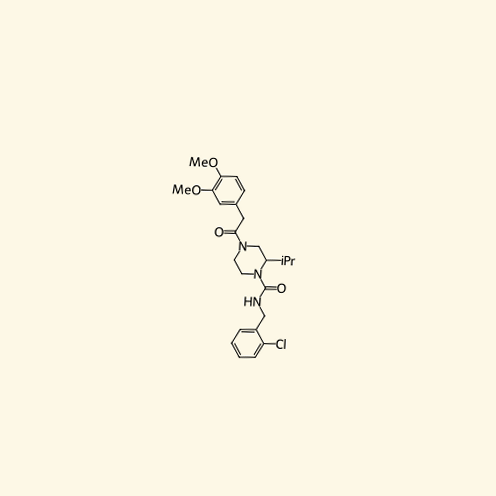 COc1ccc(CC(=O)N2CCN(C(=O)NCc3ccccc3Cl)C(C(C)C)C2)cc1OC